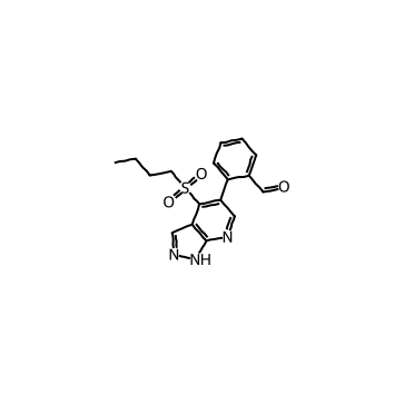 CCCCS(=O)(=O)c1c(-c2ccccc2C=O)cnc2[nH]ncc12